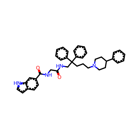 O=C(CNC(=O)c1ccc2cc[nH]c2c1)NCC(CCCN1CCC(c2ccccc2)CC1)(c1ccccc1)c1ccccc1